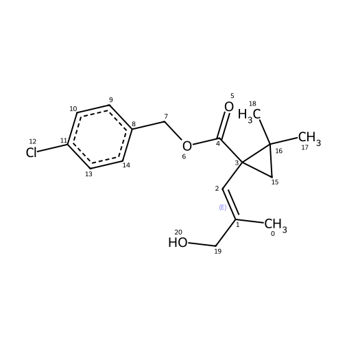 C/C(=C\C1(C(=O)OCc2ccc(Cl)cc2)CC1(C)C)CO